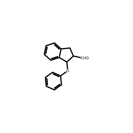 O=CC1Cc2ccccc2C1Oc1ccccc1